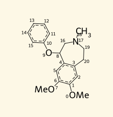 COc1cc2c(cc1OC)C(Oc1ccccc1)CN(C)CC2